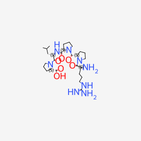 CC(C)C[C@H](NC(=O)[C@@H]1CCCN1C(=O)[C@@H]1CCCN1C(=O)[C@@H](N)CCCNC(=N)N)C(=O)N1CCC[C@H]1C(=O)O